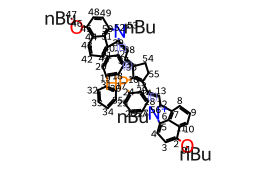 CCCCOc1ccc2c3c(cccc13)C(/C=C/C1=C([PH](c3ccccc3)(c3ccccc3)c3ccccc3)C(=C/C=c3\c4cccc5c(OCCCC)ccc(c54)n3CCCC)/CC1)=[N+]2CCCC